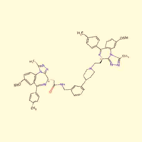 COc1ccc2c(c1)C(c1ccc(C)cc1)=N[C@@H](CC(=O)NCc1cccc(C3CCN(CC[C@H]4N=C(c5ccc(C)cc5)c5ccc(OC)cc5-n5c(C)nnc54)CC3)c1)c1nnc(C)n1-2